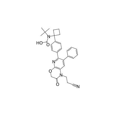 CC(C)(C)N(C(=O)O)C1(c2ccc(-c3nc4c(cc3-c3ccccc3)N(CCC#N)C(=O)CO4)cc2)CCC1